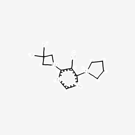 FC1(F)CN(c2ncnc(N3CCCC3)c2Cl)C1